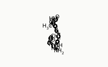 CN1CCN([C@@H]2CCCN(c3cnc(C(N)=O)c(Nc4ccc(C5CCN(C[C@@H]6CCN(c7ccc8c(c7)n(C)c(=O)n8C7CCC(=O)NC7=O)C6)CC5)cc4)n3)C2)C1=O